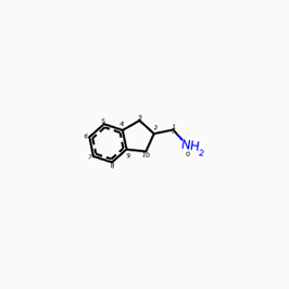 N[CH]C1Cc2ccccc2C1